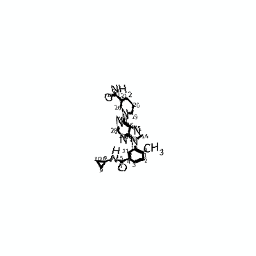 Cc1ccc(C(=O)NC2CC2)cc1-n1cnc2c(N3CCCC(C(N)=O)C3)ncnc21